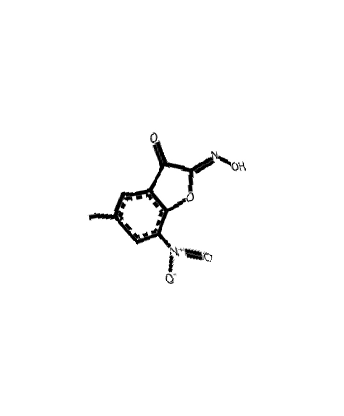 Cc1cc2c(c([N+](=O)[O-])c1)OC(=NO)C2=O